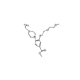 COCCOCCOc1cc(C(=O)OC)ccc1N1CCC(CO)CC1